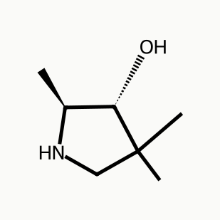 C[C@@H]1NCC(C)(C)[C@H]1O